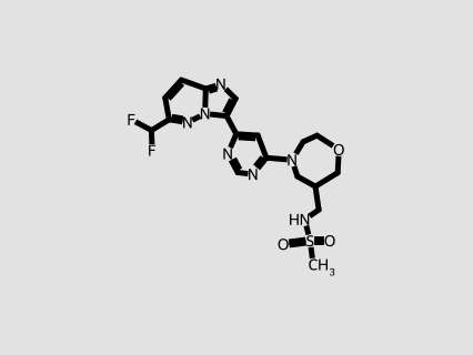 CS(=O)(=O)NCC1COCCN(c2cc(-c3cnc4ccc(C(F)F)nn34)ncn2)C1